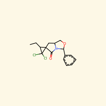 CCC1C(Cl)(Cl)C12CC1COC(c3ccccc3)N1C2=O